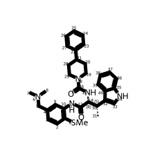 CSc1ccc(CN(C)C)cc1NC(=O)[C@H](NC(=O)N1CCC(c2ccccc2)CC1)[C@@H](C)c1c[nH]c2ccccc12